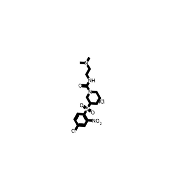 CN(C)CCNC(=O)N1CCCC(S(=O)(=O)c2ccc(Cl)cc2[N+](=O)[O-])C1.Cl